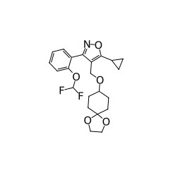 FC(F)Oc1ccccc1-c1noc(C2CC2)c1COC1CCC2(CC1)OCCO2